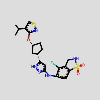 CC(C)c1csnc1O[C@@H]1CC[C@H](c2cc(Nc3ccc4c(c3F)CNS4(=O)=O)n[nH]2)C1